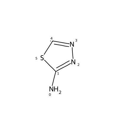 Nc1nn[c]s1